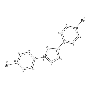 Brc1ccc(-c2ccn(-c3ccc(Br)cc3)c2)cc1